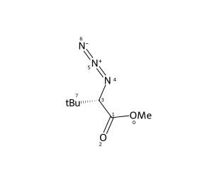 COC(=O)[C@@H](N=[N+]=[N-])C(C)(C)C